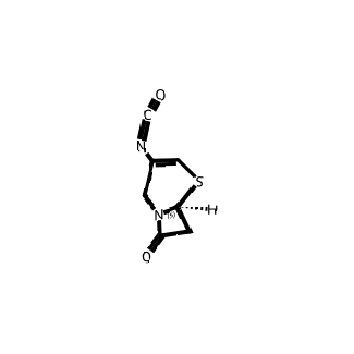 O=C=NC1=CS[C@H]2CC(=O)N2C1